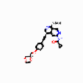 CNc1ncc(C#Cc2ccc(OC[C@@H]3COCCO3)cc2)c2cc(NC(=O)C3CC3)ncc12